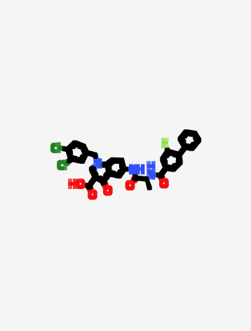 C[C@H](NC(=O)c1ccc(-c2ccccc2)c(F)c1)C(=O)Nc1ccc2c(c1)c(=O)c(C(=O)O)cn2Cc1ccc(Cl)c(Cl)c1